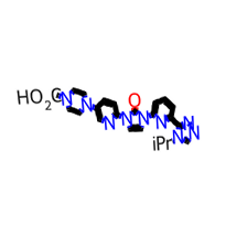 CC(C)n1cnnc1-c1cccc(-n2ccn(-c3ccc(N4CCN(C(=O)O)CC4)cn3)c2=O)n1